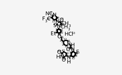 CCc1cc(N2C(=S)N(c3cnc(C#N)c(C(F)(F)F)c3)C(=O)C2(C)C)ccc1OCCC1CCN(CC(=O)Nc2cc(NC3CCC(=O)NC3=O)ccc2F)CC1.Cl